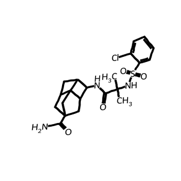 CC(C)(NS(=O)(=O)c1ccccc1Cl)C(=O)NC1C2CC3CC1CC(C(N)=O)(C3)C2